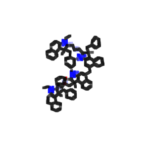 CCN1/C(=C/C=C/C2=[N+](C)c3cc(Cc4cc5c(c6ccccc46)C(C)(Cc4ccccc4)C(/C=C/C=C4/N(CC)c6ccc7ccccc7c6C4(C)Cc4ccccc4)=[N+]5C)c4ccccc4c3C2(C)Cc2ccccc2)C(C)(Cc2ccccc2)c2c1ccc1ccccc21